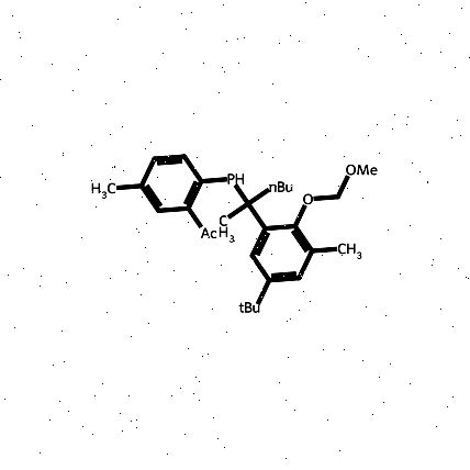 CCCCC(C)(Pc1ccc(C)cc1C(C)=O)c1cc(C(C)(C)C)cc(C)c1OCOC